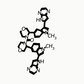 Cn1cc(-c2cc3nccnc3[nH]2)c2cc(C3COCCN3C(=O)N3CCOCC3c3ccc4c(c3)c(-c3cc5nccnc5[nH]3)cn4C)ccc21